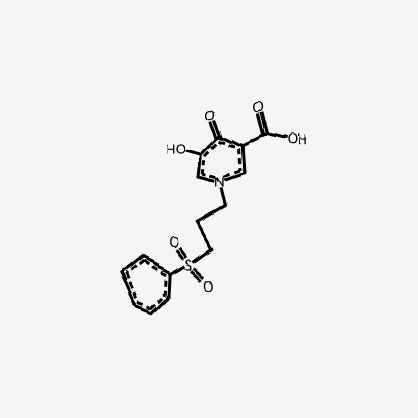 O=C(O)c1cn(CCCS(=O)(=O)c2ccccc2)cc(O)c1=O